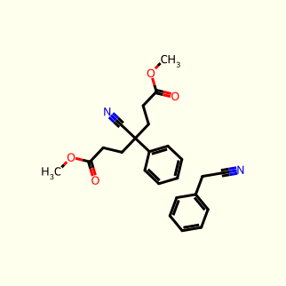 COC(=O)CCC(C#N)(CCC(=O)OC)c1ccccc1.N#CCc1ccccc1